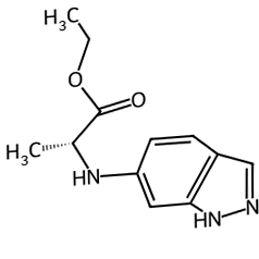 CCOC(=O)[C@@H](C)Nc1ccc2cn[nH]c2c1